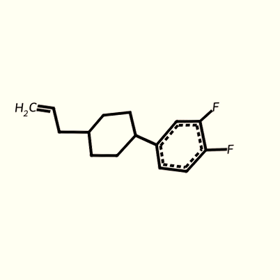 C=CCC1CCC(c2ccc(F)c(F)c2)CC1